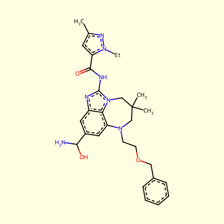 CCn1nc(C)cc1C(=O)Nc1nc2cc(C(N)O)cc3c2n1CC(C)(C)CN3CCOCc1ccccc1